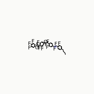 CCCCc1ccc(/C(F)=C(\F)c2ccc(C(F)(F)Oc3cc(F)c(C(F)(F)Oc4cc(F)c(F)c(F)c4)c(F)c3)c(F)c2)c(F)c1